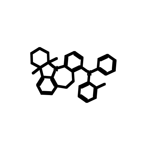 Cc1ccccc1N(c1ccccc1)c1cccc2c1CCc1cccc3c1N2C1(C)CCCCC31C